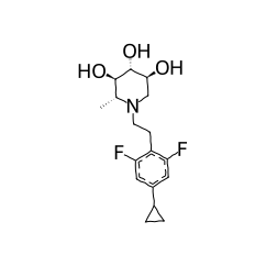 C[C@@H]1[C@@H](O)[C@H](O)[C@@H](O)CN1CCc1c(F)cc(C2CC2)cc1F